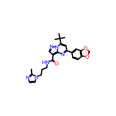 Cc1nccn1CCCNC(=O)c1cnn2c(C(C)(C)C)cc(-c3ccc4c(c3)OCO4)nc12